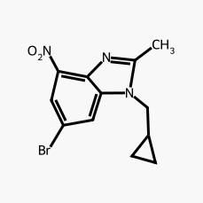 Cc1nc2c([N+](=O)[O-])cc(Br)cc2n1CC1CC1